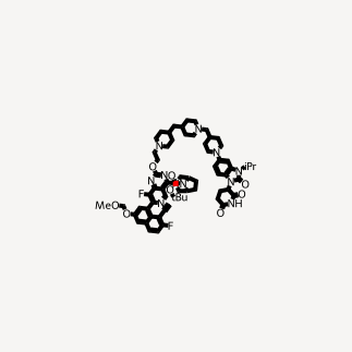 C#Cc1c(F)ccc2cc(OCOC)cc(-c3ncc4c(N5CC6CCC(C5)N6C(=O)OC(C)(C)C)nc(OCCN5CCC(CC6CCN(CC7CCN(c8ccc9c(c8)n(C(C)C)c(=O)n9C8CCC(=O)NC8=O)CC7)CC6)CC5)nc4c3F)c12